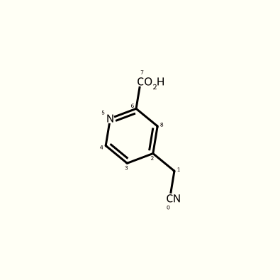 N#CCc1ccnc(C(=O)O)c1